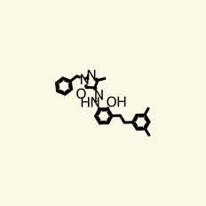 CC1=NN(Cc2ccccc2)C(=O)C1=NNc1cccc(CCc2cc(C)cc(C)c2)c1O